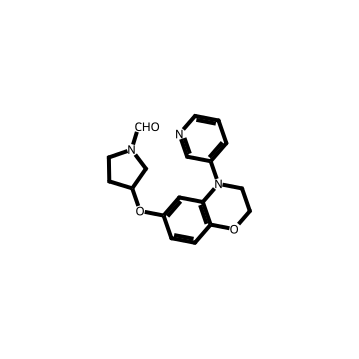 O=CN1CCC(Oc2ccc3c(c2)N(c2cccnc2)CCO3)C1